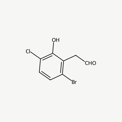 O=CCc1c(Br)ccc(Cl)c1O